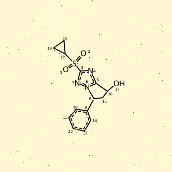 O=S(=O)(c1nc2n(n1)C(c1ccccc1)CC2O)C1CC1